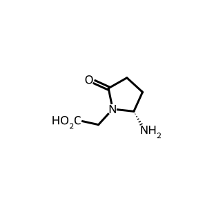 N[C@H]1CCC(=O)N1CC(=O)O